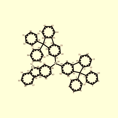 c1ccc(C2(c3ccccc3)c3ccccc3-c3cc(N(c4ccc5c(c4)C(c4ccccc4)(c4ccccc4)c4ccccc4-5)c4ccc5c(c4)oc4ccccc45)ccc32)cc1